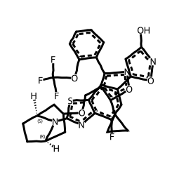 Oc1cc(-c2cc(F)c3nc(N4[C@@H]5CC[C@H]4CC(OCc4c(-c6ccccc6OC(F)(F)F)noc4C4CC4)C5)sc3c2)on1